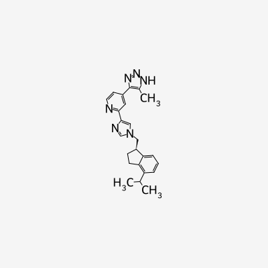 Cc1[nH]nnc1-c1ccnc(-c2cn(C[C@@H]3CCc4c(C(C)C)cccc43)cn2)c1